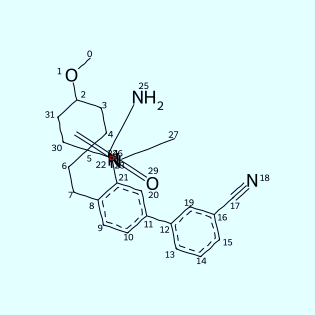 COC1CCC2(CCc3ccc(-c4cccc(C#N)c4)cc3C23N=C(N)N(C)C3=O)CC1